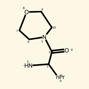 CCCC([NH])C(=O)N1CCOCC1